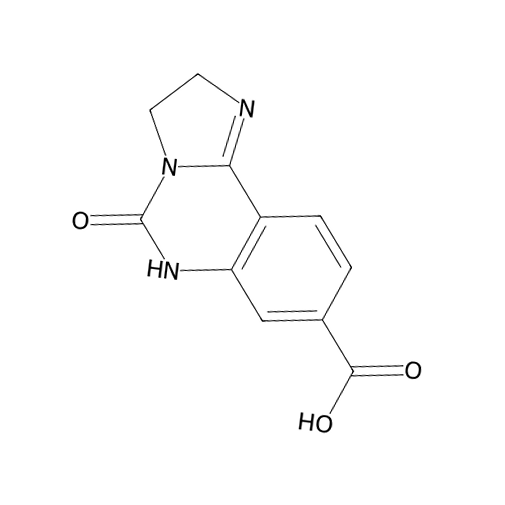 O=C(O)c1ccc2c(c1)NC(=O)N1CCN=C21